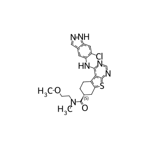 COCCN(C)C(=O)[C@H]1CCc2c(sc3ncnc(Nc4cc5cn[nH]c5cc4Cl)c23)C1